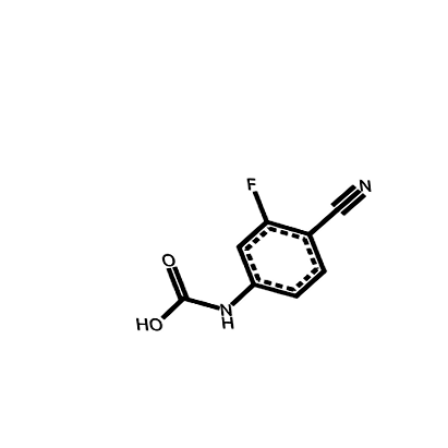 N#Cc1ccc(NC(=O)O)cc1F